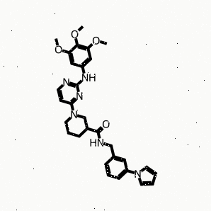 COc1cc(Nc2nccc(N3CCCC(C(=O)NCc4cccc(-n5cccc5)c4)C3)n2)cc(OC)c1OC